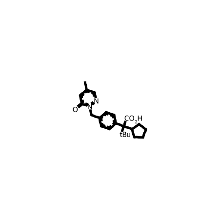 Cc1cnn(Cc2ccc(C(C(=O)O)(C3CCCC3)C(C)(C)C)cc2)c(=O)c1